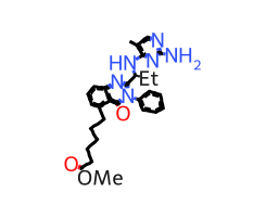 CC[C@H](Nc1nc(N)ncc1C)c1nc2cccc(CCCCCC(=O)OC)c2c(=O)n1-c1ccccc1